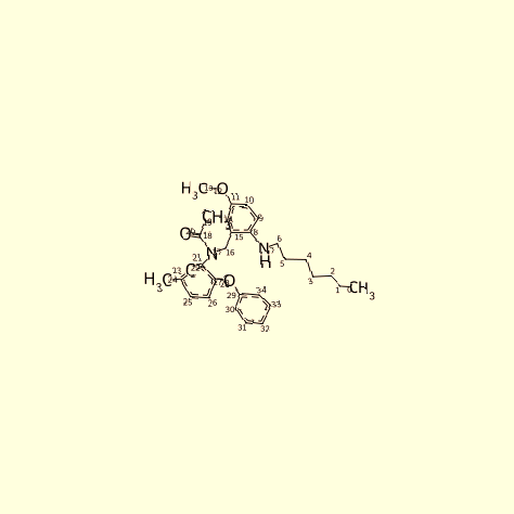 CCCCCCCNc1ccc(OC)cc1CN(C(C)=O)c1cc(C)ccc1Oc1ccccc1